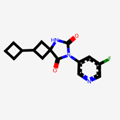 O=C1NC2(CC(C3CCC3)C2)C(=O)N1c1cncc(F)c1